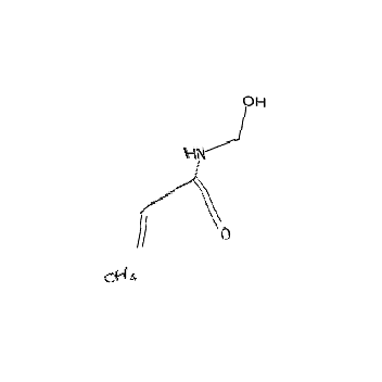 C.C=CC(=O)NCO